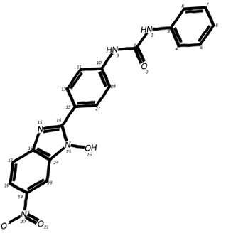 O=C(Nc1ccccc1)Nc1ccc(-c2nc3ccc([N+](=O)[O-])cc3n2O)cc1